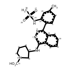 Cc1ccc(-c2nnc(NC3CCCN(C(=O)O)C3)c3ccccc23)c(NS(C)(=O)=O)c1